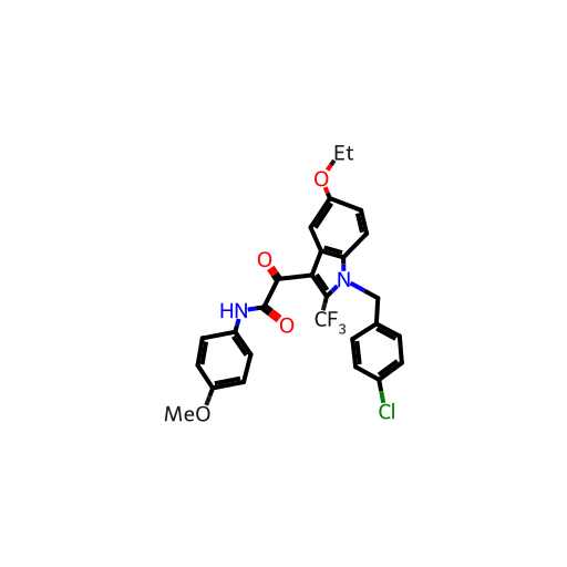 CCOc1ccc2c(c1)c(C(=O)C(=O)Nc1ccc(OC)cc1)c(C(F)(F)F)n2Cc1ccc(Cl)cc1